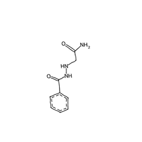 NC(=O)CNNC(=O)c1ccccc1